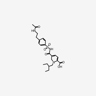 CCC(CC)CN1CC(C(=O)NS(=O)(=O)c2ccc(CCNC(C)=O)cc2)=CC=C1C(=O)O